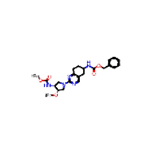 CC(C)O[C@H]1CN(c2ncc3c(n2)CCC(NC(=O)OCc2ccccc2)C3)C[C@@H]1NC(=O)OC(C)(C)C